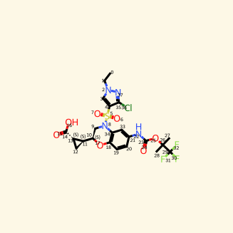 CCn1cc(S(=O)(=O)N2C[C@H]([C@H]3C[C@@H]3C(=O)O)Oc3ccc(NC(=O)OC(C)(C)C(F)(F)F)cc32)c(Cl)n1